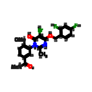 CNC(=O)c1ccc(OC)c(-n2c(C)nc(OCc3ccc(F)cc3F)c(Br)c2=O)c1